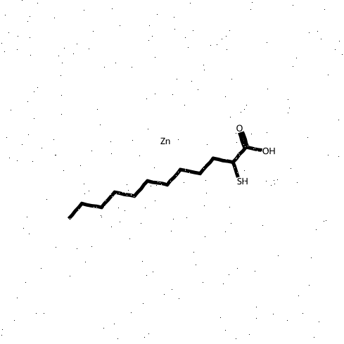 CCCCCCCCCCC(S)C(=O)O.[Zn]